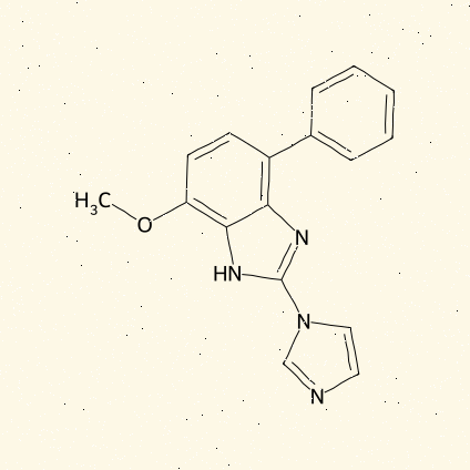 COc1ccc(-c2ccccc2)c2nc(-n3ccnc3)[nH]c12